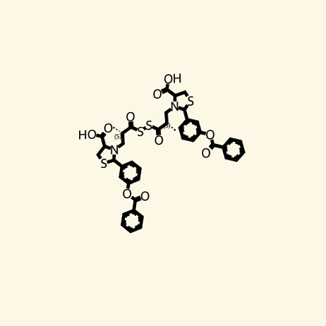 C[C@@H](CN1C(C(=O)O)CSC1c1cccc(OC(=O)c2ccccc2)c1)C(=O)SSC(=O)[C@@H](C)CN1C(C(=O)O)CSC1c1cccc(OC(=O)c2ccccc2)c1